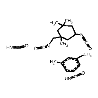 CC1(C)CC(N=C=O)CC(C)(CN=C=O)C1.Cc1cccc(C)c1.N=C=O.N=C=O